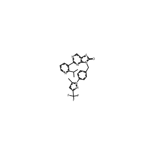 Cc1cc(C(F)(F)F)nn1-c1ccc(Cn2c(=O)sc3cnc(-c4cccnc4C(C)C)nc32)cc1